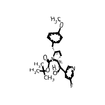 COc1ccc(C[C@@H]2CC[C@H]([C@H](O)c3cncc(F)c3)N2C(=O)OC(C)(C)C)cc1